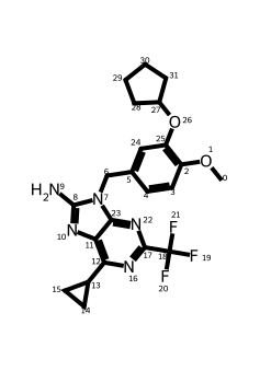 COc1ccc(Cn2c(N)nc3c(C4CC4)nc(C(F)(F)F)nc32)cc1OC1CCCC1